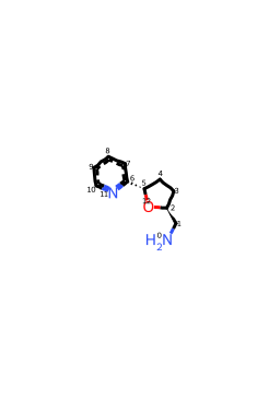 NC[C@@H]1CC[C@@H](c2ccccn2)O1